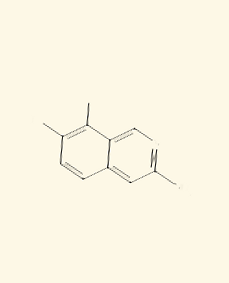 Nc1cc2ccc(Br)c(F)c2cn1